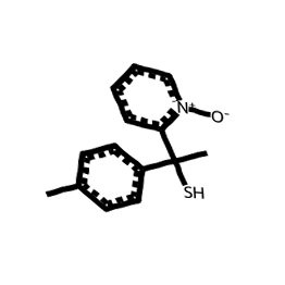 Cc1ccc(C(C)(S)c2cccc[n+]2[O-])cc1